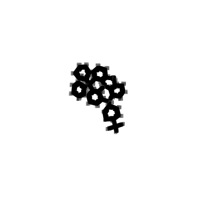 CC(C)(C)c1ccc(N2c3cccc4c3B3c5c(cccc5[Si](c5ccccc5)(c5ccccc5)c5cccc2c53)O4)cc1